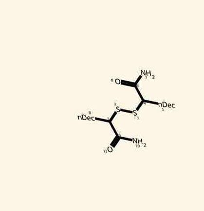 CCCCCCCCCCC(SSC(CCCCCCCCCC)C(N)=O)C(N)=O